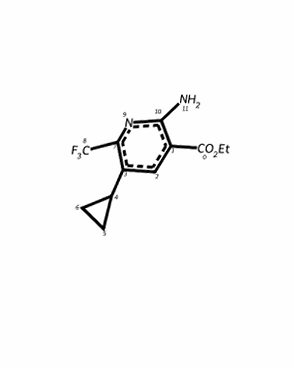 CCOC(=O)c1cc(C2CC2)c(C(F)(F)F)nc1N